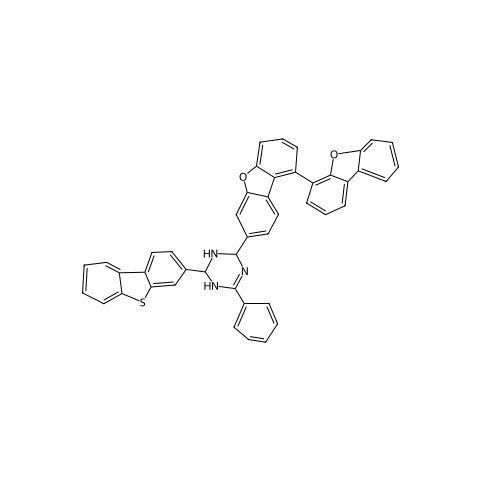 c1ccc(C2=NC(c3ccc4c(c3)oc3cccc(-c5cccc6c5oc5ccccc56)c34)NC(c3ccc4c(c3)sc3ccccc34)N2)cc1